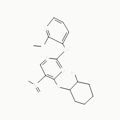 COc1ncccc1Nc1ncc([N+](=O)[O-])c(NC2CCCCC2O)n1